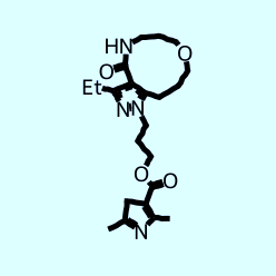 CCc1nn(CCCOC(=O)C2=C(C)N=C(C)C2)c2c1C(=O)NCCCOCCC2